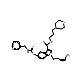 C/C=C\CCn1cc(C(=O)NCCCN2CCOCC2)c2cc(NC(=O)NCc3cccnc3)ccc21